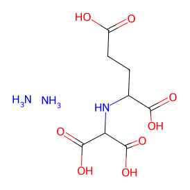 N.N.O=C(O)CCC(NC(C(=O)O)C(=O)O)C(=O)O